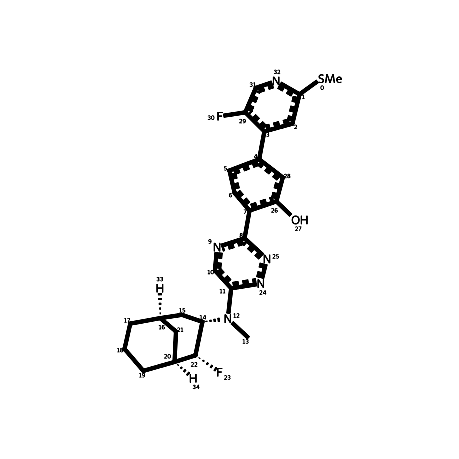 CSc1cc(-c2ccc(-c3ncc(N(C)[C@H]4C[C@@H]5CCC[C@@H](C5)[C@H]4F)nn3)c(O)c2)c(F)cn1